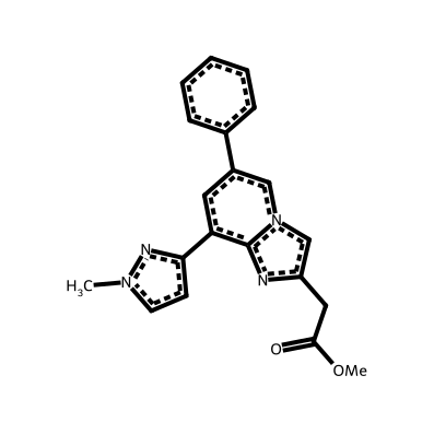 COC(=O)Cc1cn2cc(-c3ccccc3)cc(-c3ccn(C)n3)c2n1